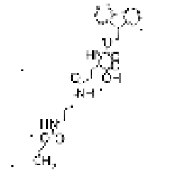 C=CCOC(=O)NCCCCNC(=O)CCC(NC(=O)OCC1c2ccccc2-c2ccccc21)C(=O)O